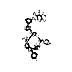 CO[C@H]1O[C@H](COc2cccc(-c3nccc(COc4ccc5cc4C[C@H](C(=O)O)Oc4ncnc6sc(-c7ccc(F)cc7)c(c46)-c4ccc(c(Cl)c4C)O[C@H](CN4CCN(C)CC4)CO5)n3)c2)[C@@H](OC)[C@H](OC)[C@@H]1OC